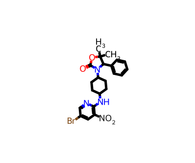 CC1(C)OC(=O)N(C2CCC(Nc3ncc(Br)cc3[N+](=O)[O-])CC2)C1c1ccccc1